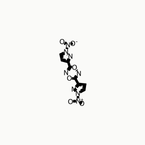 O=[N+]([O-])n1ccc(C2=NOC(c3ccn([N+](=O)[O-])n3)=NO2)n1